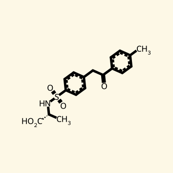 Cc1ccc(C(=O)Cc2ccc(S(=O)(=O)N[C@H](C)C(=O)O)cc2)cc1